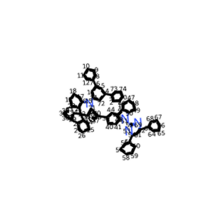 c1ccc(-c2cc(-c3ccccc3)cc(N3c4ccccc4C4(c5ccccc5-c5ccccc54)c4ccc(-c5ccc6c(c5)c5ccccc5n6-c5nc(-c6ccccc6)cc(-c6ccccc6)n5)cc43)c2)cc1